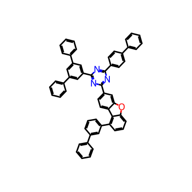 c1ccc(-c2ccc(-c3nc(-c4cc(-c5ccccc5)cc(-c5ccccc5)c4)nc(-c4ccc5c(c4)oc4cccc(-c6cccc(-c7ccccc7)c6)c45)n3)cc2)cc1